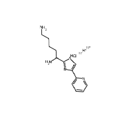 Cl.NCCCCC(N)c1nc(-c2ccccn2)cs1.[H+].[H+].[H+]